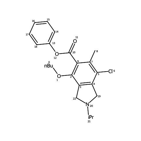 CCCCOc1c2c(c(Cl)c(C)c1C(=O)Oc1ccccc1)CN(C(C)C)C2